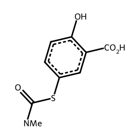 CNC(=O)Sc1ccc(O)c(C(=O)O)c1